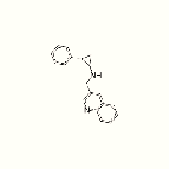 c1ccc([C@@H]2C[C@H]2NCc2cnc3ccccc3c2)cc1